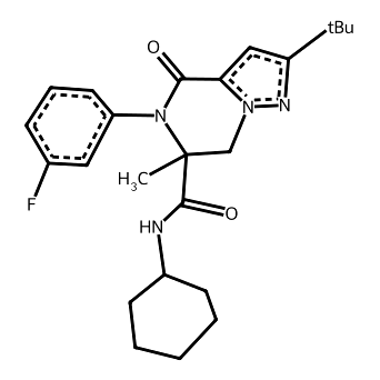 CC(C)(C)c1cc2n(n1)CC(C)(C(=O)NC1CCCCC1)N(c1cccc(F)c1)C2=O